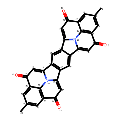 Cc1cc2c(=O)cc3c4cc5c(cc4c4cc(=O)c(c1)c2n34)c1cc(=O)c2cc(C)cc3c(=O)cc5n1c32